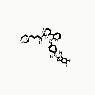 Fc1cc2nc(Nc3ccc(Oc4ncccc4-c4ccnc(NCCCN5CCOCC5)n4)cc3)[nH]c2cc1F